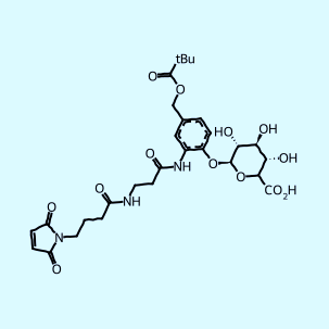 CC(C)(C)C(=O)OCc1ccc(O[C@@H]2OC(C(=O)O)[C@@H](O)[C@H](O)[C@H]2O)c(NC(=O)CCNC(=O)CCCN2C(=O)C=CC2=O)c1